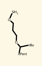 CCCCCC(CCCC)OCCCO[SiH3]